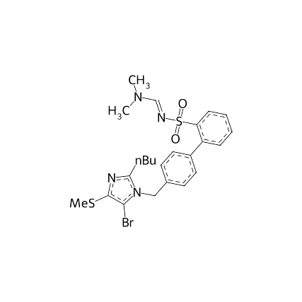 CCCCc1nc(SC)c(Br)n1Cc1ccc(-c2ccccc2S(=O)(=O)N=CN(C)C)cc1